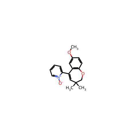 COc1ccc2c(c1)C(c1cccc[n+]1[O-])=CC(C)(C)CO2